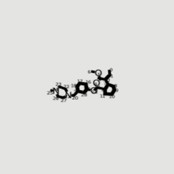 CC=C(C(=O)OC)c1ccccc1COc1cccc(CN2CCN(C)CC2)c1